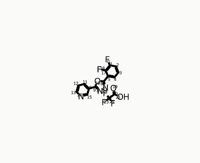 Fc1cccc(-c2nnc(-c3cccnc3)o2)c1F.O=C(O)C(F)(F)F